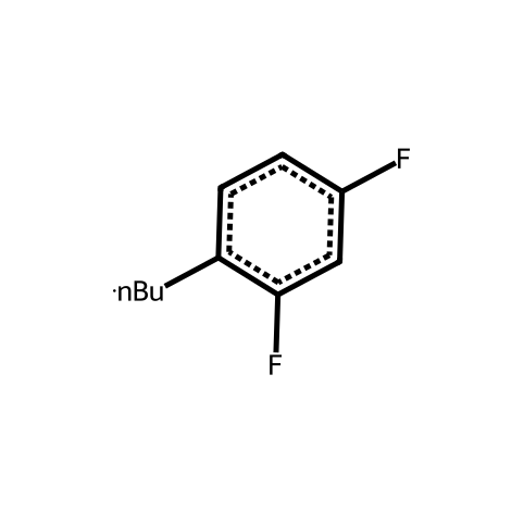 CCC[CH]c1ccc(F)cc1F